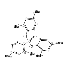 CC(C)(C)c1ccc(OP(=O)(Oc2ccc(C(C)(C)C)cc2C(C)(C)C)c2ccc(C(C)(C)C)cc2C(C)(C)C)c(C(C)(C)C)c1